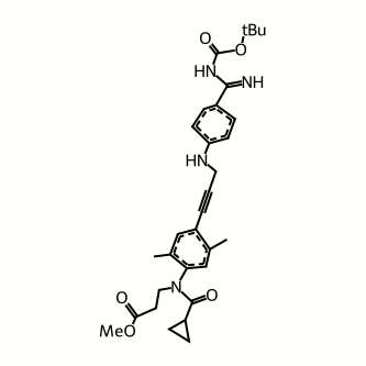 COC(=O)CCN(C(=O)C1CC1)c1cc(C)c(C#CCNc2ccc(C(=N)NC(=O)OC(C)(C)C)cc2)cc1C